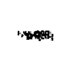 CC(C)(C)Oc1ccc(-c2csc(N)n2)cc1